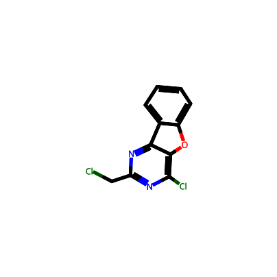 ClCc1nc(Cl)c2oc3ccccc3c2n1